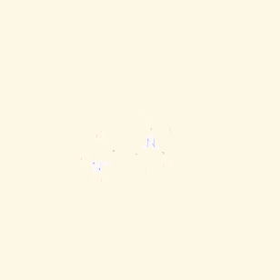 CCCCOc1cc(N2C(=O)C3=C(CCCC3)C2=O)c(F)cc1[N+](=O)[O-]